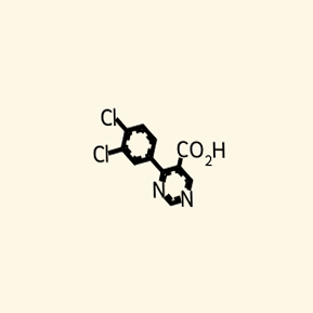 O=C(O)c1cncnc1-c1ccc(Cl)c(Cl)c1